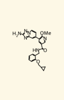 COc1ncc(C(=O)NCc2ccccc2OCC2CC2)cc1-c1ccn2nc(N)nc2c1